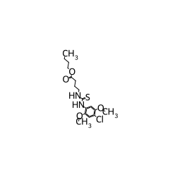 CCCCOC(=O)CCCNC(=S)Nc1cc(OC)c(Cl)cc1OC